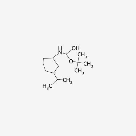 CC(C)C1CCCC(NC(O)OC(C)(C)C)C1